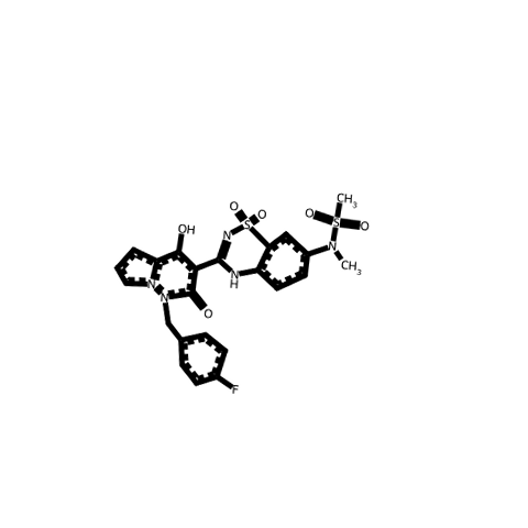 CN(c1ccc2c(c1)S(=O)(=O)N=C(c1c(O)c3cccn3n(Cc3ccc(F)cc3)c1=O)N2)S(C)(=O)=O